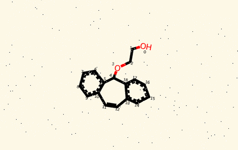 OCCOC1c2ccccc2C=Cc2ccccc21